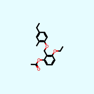 CCOc1cccc(OC(C)=O)c1COc1ccc(CC)cc1C